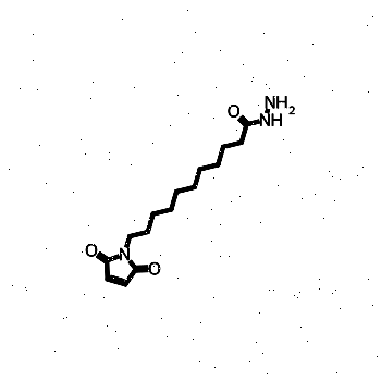 NNC(=O)CCCCCCCCCCN1C(=O)C=CC1=O